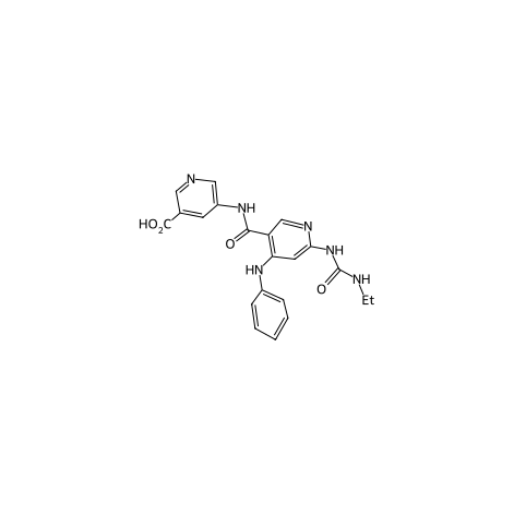 CCNC(=O)Nc1cc(Nc2ccccc2)c(C(=O)Nc2cncc(C(=O)O)c2)cn1